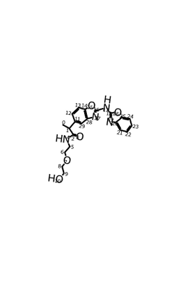 CC(C(=O)NCCOCCO)c1ccc2oc(Nc3nc4ccccc4o3)nc2c1